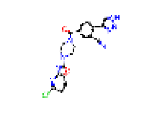 N#Cc1cc(C(=O)N2CCN(c3nc4nc(Cl)ccc4o3)CC2)ccc1-c1c[nH]nn1